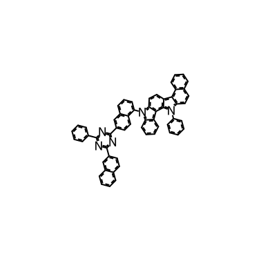 c1ccc(-c2nc(-c3ccc4ccccc4c3)nc(-c3ccc4c(-n5c6ccccc6c6c5ccc5c7c8ccccc8ccc7n(-c7ccccc7)c56)cccc4c3)n2)cc1